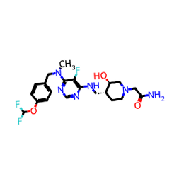 CN(Cc1ccc(OC(F)F)cc1)c1ncnc(NC[C@H]2CCN(CC(N)=O)C[C@@H]2O)c1F